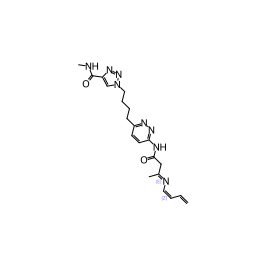 C=C/C=C\N=C(/C)CC(=O)Nc1ccc(CCCCn2cc(C(=O)NC)nn2)nn1